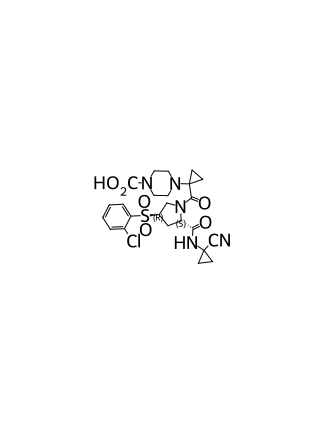 N#CC1(NC(=O)[C@@H]2C[C@@H](S(=O)(=O)c3ccccc3Cl)CN2C(=O)C2(N3CCN(C(=O)O)CC3)CC2)CC1